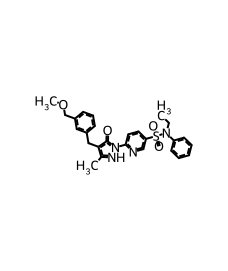 CCN(c1ccccc1)S(=O)(=O)c1ccc(-n2[nH]c(C)c(Cc3cccc(COC)c3)c2=O)nc1